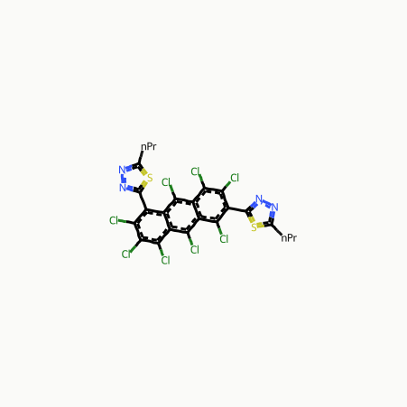 CCCc1nnc(-c2c(Cl)c(Cl)c3c(Cl)c4c(-c5nnc(CCC)s5)c(Cl)c(Cl)c(Cl)c4c(Cl)c3c2Cl)s1